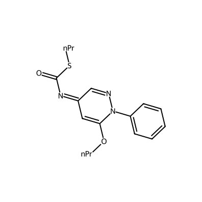 CCCOc1cc(=NC(=O)SCCC)cnn1-c1ccccc1